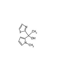 Cn1cccc1C(C)(O)c1nccs1